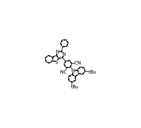 CC(C)(C)c1ccc2c(c1)c1cc(C(C)(C)C)ccc1n2-c1c(C#N)cc(-c2nc(-c3ccccc3)nc3c2sc2ccccc23)cc1C#N